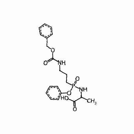 CC(NP(=O)(CCCNC(=O)OCc1ccccc1)Oc1ccccc1)C(=O)O